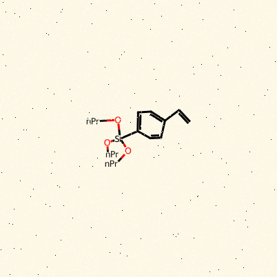 C=Cc1ccc([Si](OCCC)(OCCC)OCCC)cc1